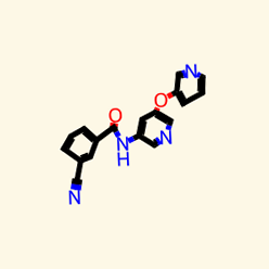 N#Cc1cccc(C(=O)Nc2cncc(Oc3cccnc3)c2)c1